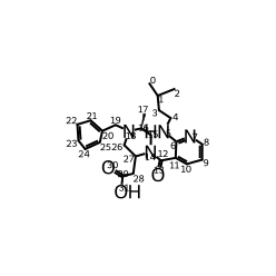 CC(C)CCNc1ncccc1C(=O)N1C[C@H](C)N(Cc2ccccc2)CC1CC(=O)O